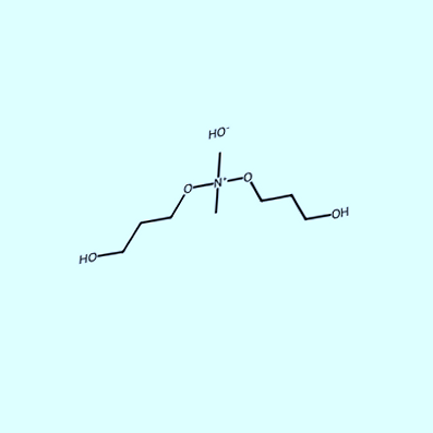 C[N+](C)(OCCCO)OCCCO.[OH-]